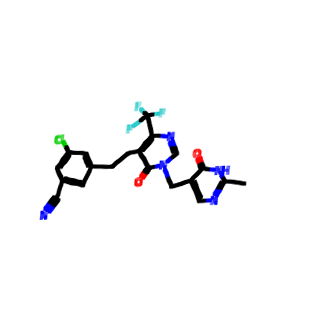 Cc1ncc(Cn2cnc(C(F)(F)F)c(CCc3cc(Cl)cc(C#N)c3)c2=O)c(=O)[nH]1